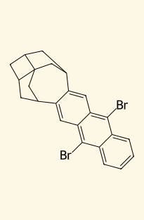 Brc1c2ccccc2c(Br)c2cc3c(cc12)C1CC2CC4CC3CC24C1